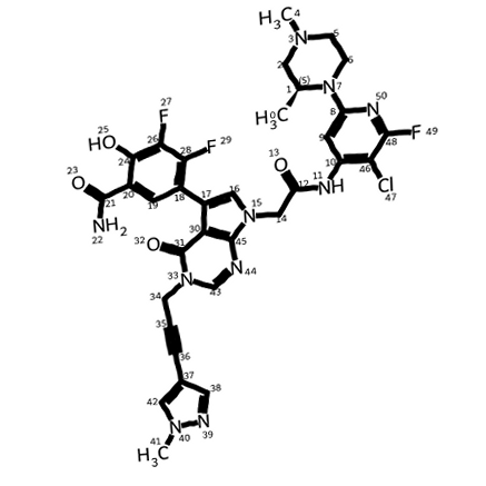 C[C@H]1CN(C)CCN1c1cc(NC(=O)Cn2cc(-c3cc(C(N)=O)c(O)c(F)c3F)c3c(=O)n(CC#Cc4cnn(C)c4)cnc32)c(Cl)c(F)n1